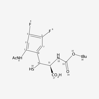 CC(=O)Nc1cc(F)c(F)cc1C(S)[C@@H](NC(=O)OC(C)(C)C)C(=O)O